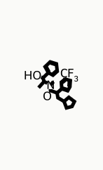 CC(C(O)c1ccccc1)N(C)C(=O)C(CC1CCCC1)c1cccc(C(F)(F)F)c1